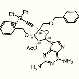 CC[Si](C#C[C@]1(COCc2ccccc2)O[C@@H](n2cnc3c(N)nc(N)nc32)[C@H](OC(C)=O)[C@@H]1OCc1ccccc1)(CC)CC